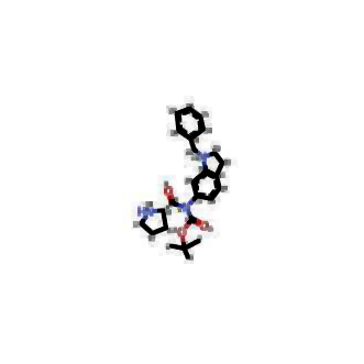 CC(C)(C)OC(=O)N(C(=O)[C@@H]1CCCN1)c1ccc2c(c1)N(Cc1ccccc1)CC2